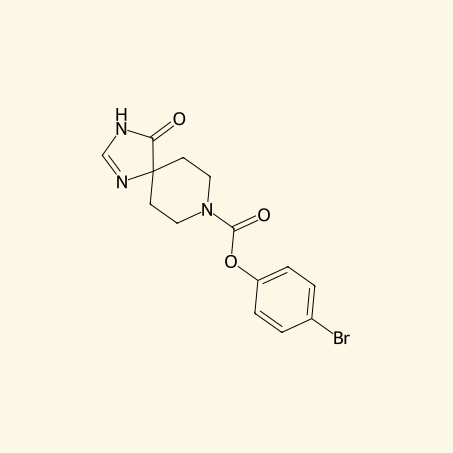 O=C(Oc1ccc(Br)cc1)N1CCC2(CC1)N=CNC2=O